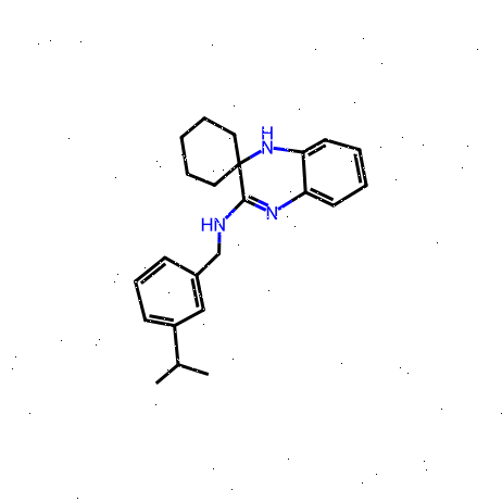 CC(C)c1cccc(CNC2=Nc3ccccc3NC23CCCCC3)c1